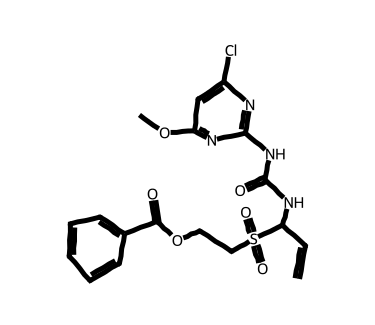 C=CC(NC(=O)Nc1nc(Cl)cc(OC)n1)S(=O)(=O)CCOC(=O)c1ccccc1